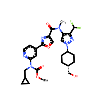 CN(C(=O)c1coc(-c2ccnc(N(CC3CC3)C(=O)OC(C)(C)C)c2)n1)c1cn([C@H]2CC[C@H](CO)CC2)nc1C(F)F